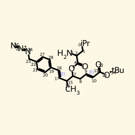 CC(C)CC(N)C(=O)OC(C/C=C/C(=O)OC(C)(C)C)C(C)/C=C/c1ccc(CN=[N+]=[N-])cc1